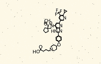 COCC1(CN(C)c2cc(-c3cnc(C4CC4)c(C(F)(F)F)c3)nc3nc(-c4ccc(OC5CCN(CCCC(=O)O)CC5)cc4)[nH]c23)CCCC1